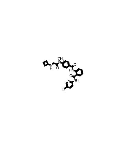 CN(C(=O)CNC1CCC1)c1ccc(C(=O)Nc2ccccc2C(=O)Nc2ccc(Cl)cn2)cc1